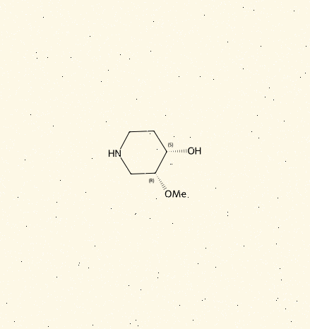 CO[C@@H]1CNCC[C@@H]1O